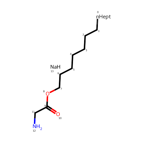 CCCCCCCCCCCCCCOC(=O)CN.[NaH]